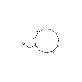 [O]CC1CCCCCCCCCC1